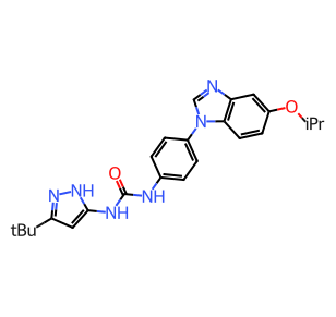 CC(C)Oc1ccc2c(c1)ncn2-c1ccc(NC(=O)Nc2cc(C(C)(C)C)n[nH]2)cc1